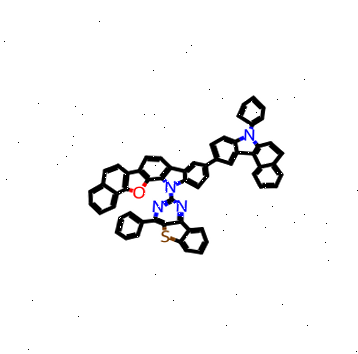 c1ccc(-c2nc(-n3c4ccc(-c5ccc6c(c5)c5c7ccccc7ccc5n6-c5ccccc5)cc4c4ccc5c6ccc7ccccc7c6oc5c43)nc3c2sc2ccccc23)cc1